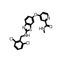 CNC(=O)c1cc(Oc2ccc3nc(NCc4c(Cl)cccc4Cl)sc3c2)ccn1